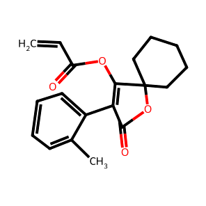 C=CC(=O)OC1=C(c2ccccc2C)C(=O)OC12CCCCC2